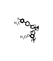 CCOc1cc(C(F)(F)F)cc2c1OCN(C(=O)C1(C3CC3)CC[C@@H](N3CCC(c4ccc(F)c(C)c4)CC3)CO1)C2